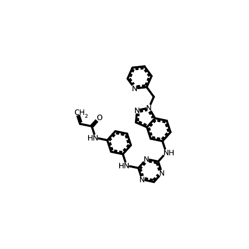 C=CC(=O)Nc1cccc(Nc2ncnc(Nc3ccc4c(cnn4Cc4ccccn4)c3)n2)c1